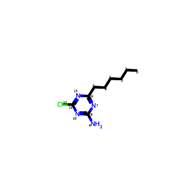 CCCCCCc1nc(N)nc(Cl)n1